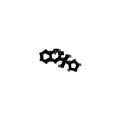 N#CC(=Cc1ccccc1C(F)(F)F)S(=O)(=O)C1CCCC1